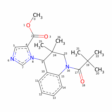 COC(=O)c1cncn1C1c2ccccc2N(C(=O)C(C)(C)C)CC1(C)C